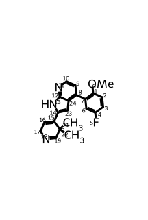 COc1ccc(F)cc1-c1ccnc2[nH]c(C3=CCN=CC3(C)C)cc12